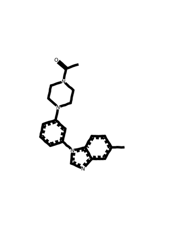 CC(=O)N1CCN(c2cccc(-n3cnc4cc(C)ccc43)c2)CC1